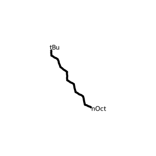 [CH2]CCCCCCCCCCCCCCCCC(C)(C)C